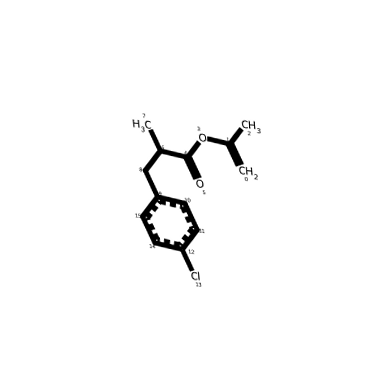 C=C(C)OC(=O)C(C)Cc1ccc(Cl)cc1